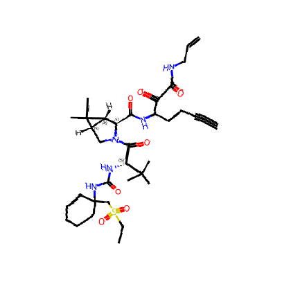 C#CCCC(NC(=O)[C@@H]1[C@@H]2[C@H](CN1C(=O)[C@@H](NC(=O)NC1(CS(=O)(=O)CC)CCCCC1)C(C)(C)C)C2(C)C)C(=O)C(=O)NCC=C